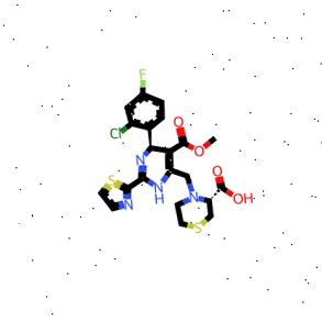 COC(=O)C1=C(CN2CCSC[C@H]2C(=O)O)NC(c2nccs2)=N[C@H]1c1ccc(F)cc1Cl